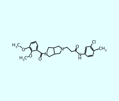 COc1cccc(C(=O)N2CC3CN(CCC(=O)Nc4ccc(C)c(Cl)c4)CC3C2)c1OC